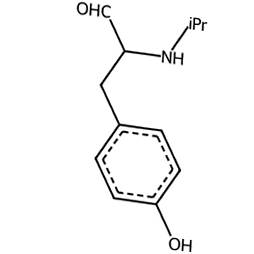 CC(C)NC(C=O)Cc1ccc(O)cc1